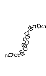 CCCCCCCCc1ccc(-c2ccc3c(c2)oc2c3ccc3c2ccc2c4ccc(-c5ccc(CCCCCCCC)s5)cc4sc23)s1